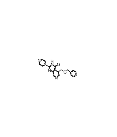 O=c1[nH]c(-c2ccncc2)nc2cncc(COCc3ccccc3)c12